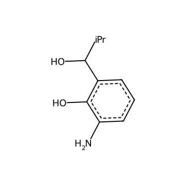 CC(C)C(O)c1cccc(N)c1O